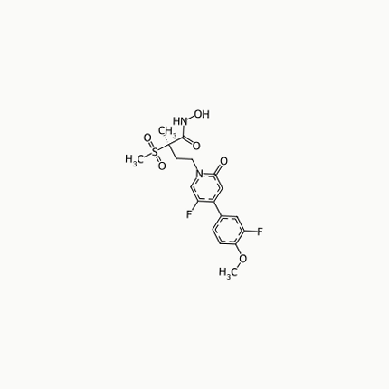 COc1ccc(-c2cc(=O)n(CC[C@](C)(C(=O)NO)S(C)(=O)=O)cc2F)cc1F